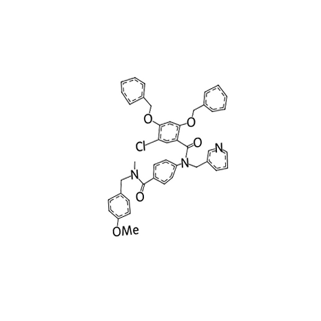 COc1ccc(CN(C)C(=O)c2ccc(N(Cc3cccnc3)C(=O)c3cc(Cl)c(OCc4ccccc4)cc3OCc3ccccc3)cc2)cc1